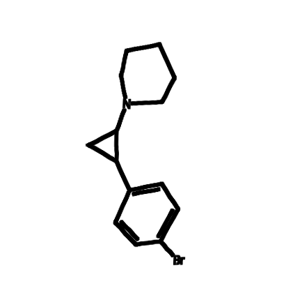 Brc1ccc(C2CC2N2CCCCC2)cc1